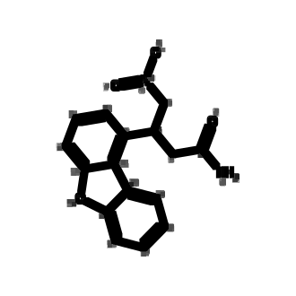 NC(=O)CC(C[N+](=O)[O-])c1cccc2oc3ccccc3c12